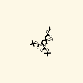 CCOC(=O)CC1(O)C[C@@H](C(=O)OC(C)(C)C)N(C(=O)OC(C)(C)C)C1